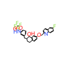 O=S(=O)(Nc1cccc(CC2CCc3ccc(OCc4ccc5cc(F)ccc5n4)cc3C2O)c1)C(F)(F)F